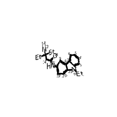 CCn1c2ccccc2c2cc(NC(=O)CC(N)(CC)CC)ccc21